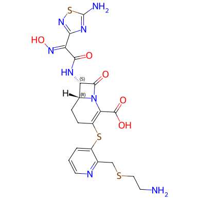 NCCSCc1ncccc1SC1=C(C(=O)O)N2C(=O)[C@@H](NC(=O)C(=NO)c3nsc(N)n3)[C@H]2CC1